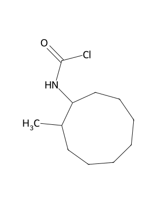 CC1CCCCCCCC1NC(=O)Cl